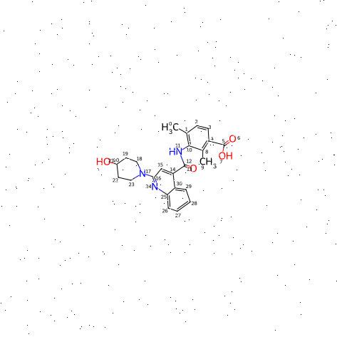 Cc1ccc(C(=O)O)c(C)c1NC(=O)c1cc(N2CCC(O)CC2)nc2ccccc12